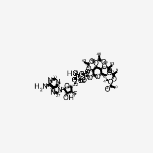 CC(=O)OC[C@@H](OC(C)=O)[C@H]1O[C@@H](OP(=O)(O)OP(=O)(O)OC[C@H]2O[C@@H](n3cnc4c(N)ncnc43)[C@H](O)[C@@H]2F)[C@@H](OC(C)=O)[C@@H](OC(C)=O)[C@@H]1OC(C)=O